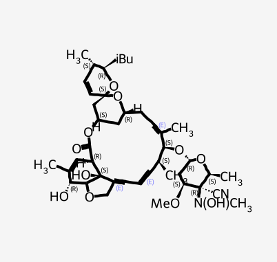 CCC(C)[C@H]1O[C@]2(C=C[C@@H]1C)C[C@@H]1C[C@@H](C/C=C(\C)[C@@H](O[C@H]3C[C@H](OC)[C@](C#N)(N(C)O)[C@H](C)O3)[C@@H](C)/C=C/C=C3\COC4[C@H](O)C(C)=C[C@@H](C(=O)O1)[C@]34O)O2